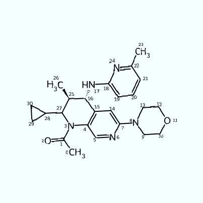 CC(=O)N1c2cnc(N3CCOCC3)cc2[C@@H](Nc2cccc(C)n2)[C@H](C)C1C1CC1